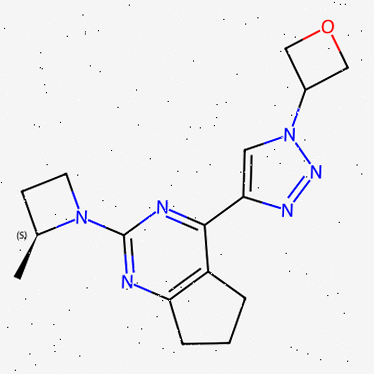 C[C@H]1CCN1c1nc2c(c(-c3cn(C4COC4)nn3)n1)CCC2